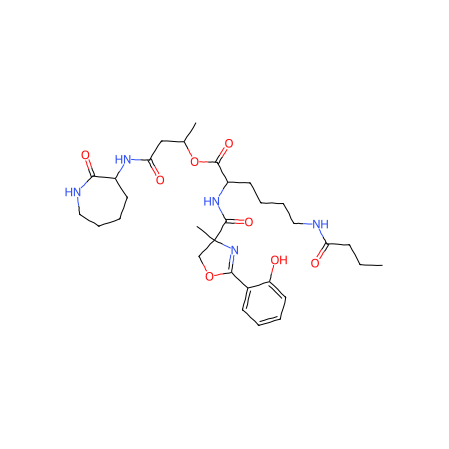 CCCC(=O)NCCCCC(NC(=O)C1(C)COC(c2ccccc2O)=N1)C(=O)OC(C)CC(=O)NC1CCCCNC1=O